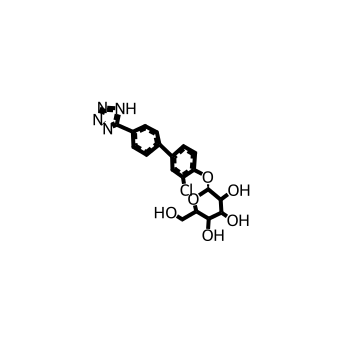 OCC1O[C@H](Oc2ccc(-c3ccc(-c4nnn[nH]4)cc3)cc2Cl)C(O)C(O)C1O